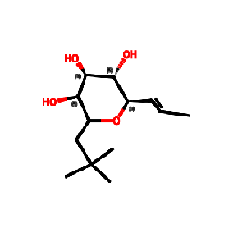 CC=C[C@H]1OC(CC(C)(C)C)[C@@H](O)[C@@H](O)[C@@H]1O